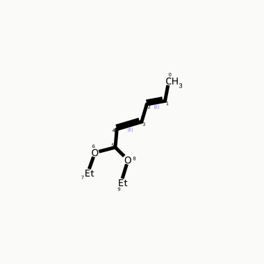 C/C=C/C=C/C(OCC)OCC